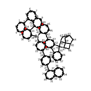 c1ccc(-c2cccc3cccc(-c4ccccc4N(c4ccc(-c5ccc(-c6cccc7ccccc67)cc5)cc4)c4ccccc4-c4ccc5c(c4)C4(c6ccccc6-5)C5CC6CC7CC4C75C6)c23)cc1